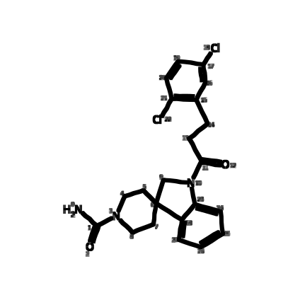 NC(=O)N1CCC2(CC1)CN(C(=O)CCc1cc(Cl)ccc1Cl)c1ccccc12